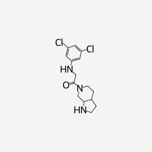 O=C(CNc1cc(Cl)cc(Cl)c1)N1CCC2CCNC2C1